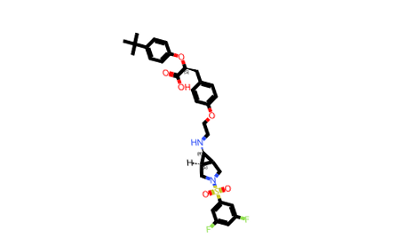 CC(C)(C)c1ccc(O[C@@H](Cc2ccc(OCCN[C@@H]3C4CN(S(=O)(=O)c5cc(F)cc(F)c5)C[C@H]43)cc2)C(=O)O)cc1